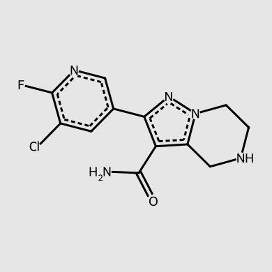 NC(=O)c1c(-c2cnc(F)c(Cl)c2)nn2c1CNCC2